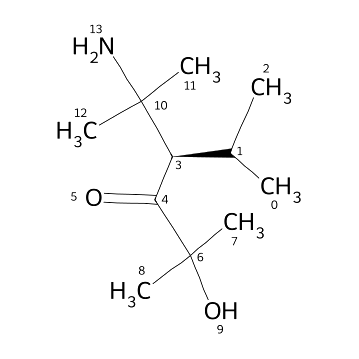 CC(C)[C@@H](C(=O)C(C)(C)O)C(C)(C)N